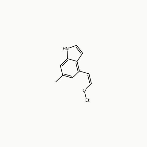 CCO/C=C\c1cc(C)cc2[nH]ccc12